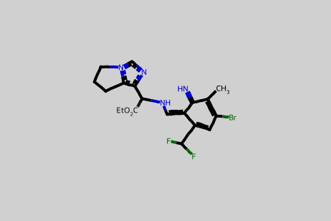 CCOC(=O)C(N/C=C1\C(=N)C(C)=C(Br)C=C1C(F)F)c1ncn2c1CCC2